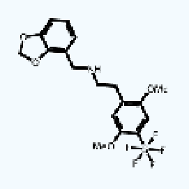 COc1cc(S(F)(F)(F)(F)F)c(OC)cc1CCNCc1cccc2c1OCO2